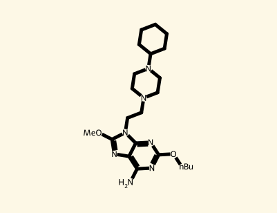 CCCCOc1nc(N)c2nc(OC)n(CCN3CCN(C4CCCCC4)CC3)c2n1